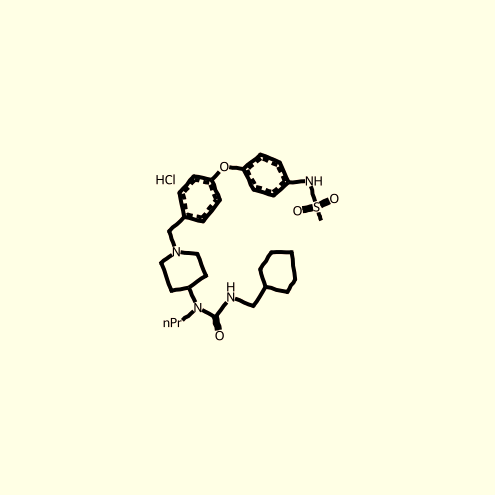 CCCN(C(=O)NCC1CCCCC1)C1CCN(Cc2ccc(Oc3ccc(NS(C)(=O)=O)cc3)cc2)CC1.Cl